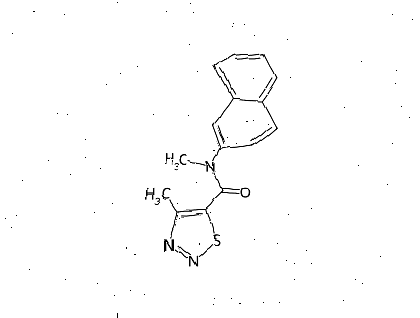 Cc1nnsc1C(=O)N(C)c1ccc2ccccc2c1